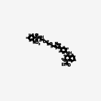 CCC(=O)N1c2ccccc2[C@H](Nc2ccc(-n3cc(COCCOCCNS(=O)(=O)c4ccccc4[N+](=O)[O-])nn3)cc2)C[C@@H]1C